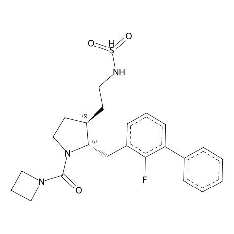 O=C(N1CCC1)N1CC[C@@H](CCN[SH](=O)=O)[C@@H]1Cc1cccc(-c2ccccc2)c1F